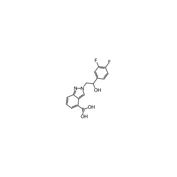 OB(O)c1cccc2nn(CC(O)c3ccc(F)c(F)c3)cc12